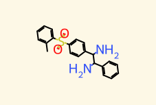 Cc1ccccc1S(=O)(=O)c1ccc(C(N)C(N)c2ccccc2)cc1